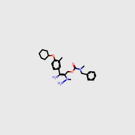 Cc1cc(/C(N)=C(\COC(=O)N(C)Cc2ccccc2)N(C)N)ccc1OC1CCCCC1